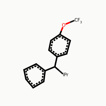 CC(C)C(c1ccccc1)c1ccc(OC(F)(F)F)cc1